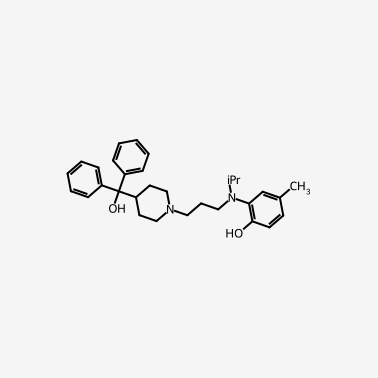 Cc1ccc(O)c(N(CCCN2CCC(C(O)(c3ccccc3)c3ccccc3)CC2)C(C)C)c1